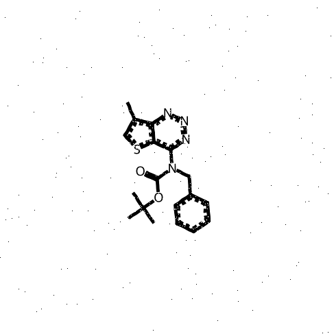 Cc1csc2c(N(Cc3ccccc3)C(=O)OC(C)(C)C)nnnc12